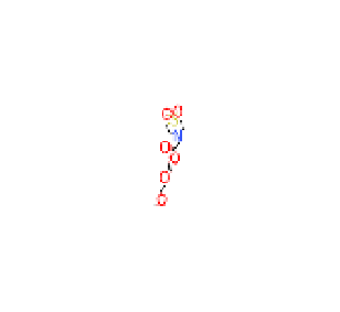 COCCOCCOC(=O)CN1CCS(=O)(=O)CC1